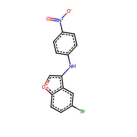 O=[N+]([O-])c1ccc(Nc2coc3ccc(Br)cc23)cc1